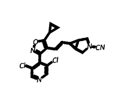 N#CN1CC2C(C=Cc3c(-c4c(Cl)cncc4Cl)noc3C3CC3)C2C1